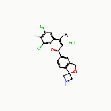 Cl.O=C(C=C(c1cc(Cl)c(F)c(Cl)c1)C(F)(F)F)c1ccc2c(c1)COC21CNC1